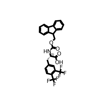 O=C(N[C@@H](Cc1ccc(C(F)(F)F)c(C(F)(F)F)c1)C(=O)O)OCC1c2ccccc2-c2ccccc21